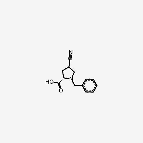 N#CC1C[C@@H](C(=O)O)N(Cc2ccccc2)C1